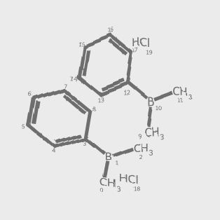 CB(C)c1ccccc1.CB(C)c1ccccc1.Cl.Cl